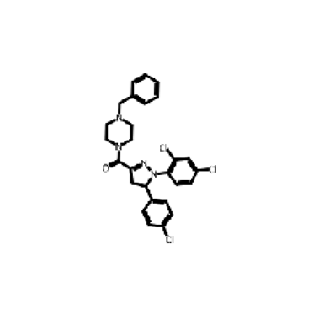 O=C(C1=NN(c2ccc(Cl)cc2Cl)C(c2ccc(Cl)cc2)C1)N1CCN(Cc2ccccc2)CC1